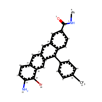 CC(C)NC(=O)c1ccc2c(-c3ccc(C(F)(F)F)cc3)c3cc4c(Br)c(N)ccc4cc3cc2c1